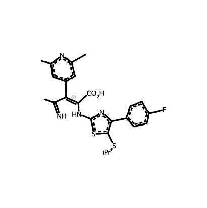 CC(=N)/C(=C(\Nc1nc(-c2ccc(F)cc2)c(SC(C)C)s1)C(=O)O)c1cc(C)nc(C)c1